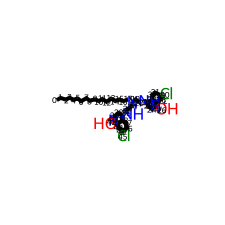 CCCCCCCCCCCCCCCCCCN(CCNc1cc[n+](O)c2cc(Cl)ccc12)CCNc1cc[n+](O)c2cc(Cl)ccc12